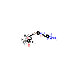 Cc1c(C)c2c(c(C)c1O)CCC(C)(CCCCSc1ccc(NC(=O)/C=C/c3ccc(NC(=N)N)cc3)cc1)O2